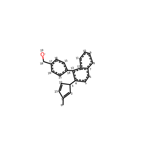 CC1=CC(c2ccc3ccccc3c2-c2ccc(C[O])cc2)C=C1